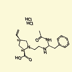 C=C[C@@H]1C[C@H](C(=O)O)N(CCNC(Cc2ccccc2)NC(C)=O)C1.Cl.Cl